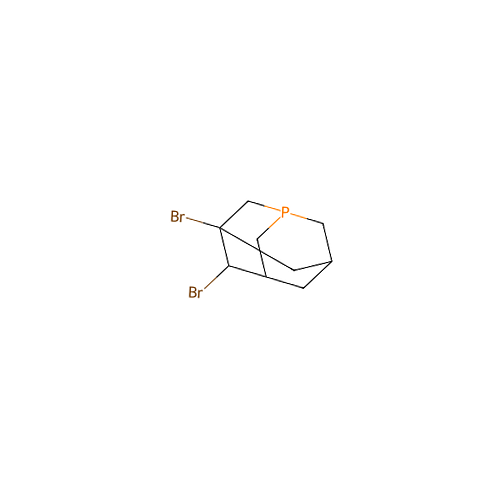 BrC1C2CC3CP(C2)CC1(Br)C3